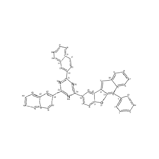 c1ccc(-c2c3ccccc3cc3c2oc2ccc(-c4nc(-c5ccc6ccccc6c5)nc(-c5ccc6ccccc6c5)n4)cc23)cc1